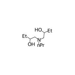 CCCN(CC(O)CC)CC(O)CC